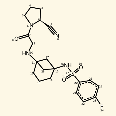 N#C[C@@H]1CCCN1C(=O)CNC12CCCC(NS(=O)(=O)c3ccc(F)cc3)(C1)C2